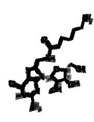 NCCCCCC(=O)NCc1nc2c(=O)[nH]c(N)nc2n1[C@@H]1O[C@H](CO)[C@@H](O)[C@H]1O